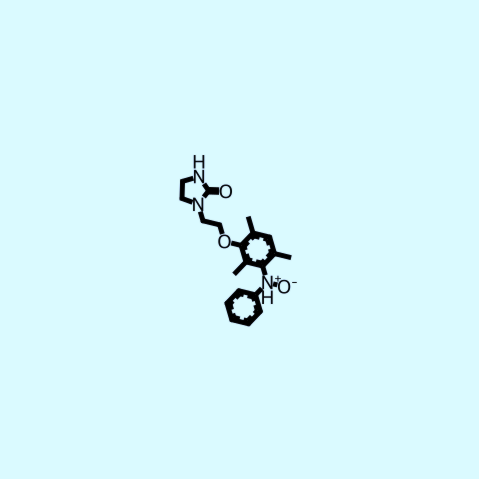 Cc1cc(C)c([NH+]([O-])c2ccccc2)c(C)c1OCCN1CCNC1=O